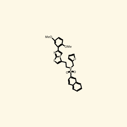 COc1ccc(OC)c(-c2cn3c(CCN(Cc4ccco4)S(=O)(=O)c4ccc5ccccc5c4)csc3n2)c1